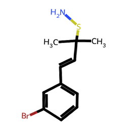 CC(C)(C=Cc1cccc(Br)c1)SN